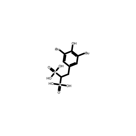 CCC(C)c1cc(CC(P(=O)(O)O)P(=O)(O)O)cc(C(C)CC)c1O